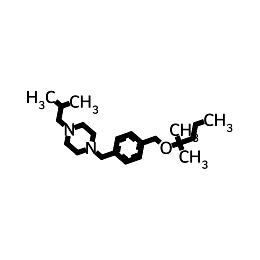 CCCC(C)(C)OCc1ccc(CN2CCN(CC(C)C)CC2)cc1